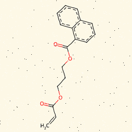 C=CC(=O)OCCCOC(=O)c1cccc2ccccc12